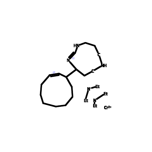 C1=C\C(C2CCNCCCN/C=N/2)CCCCCCC/1.CC[N-]CC.CC[N-]CC.[Cr+2]